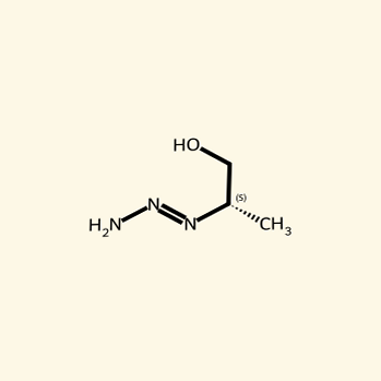 C[C@@H](CO)N=NN